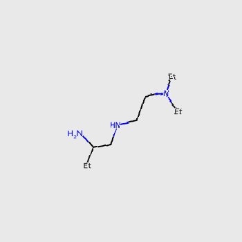 CCC(N)CNCCN(CC)CC